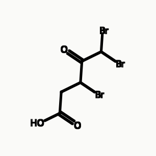 O=C(O)CC(Br)C(=O)C(Br)Br